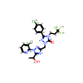 CC(O)c1nc(Cn2nc(-c3ccc(Cl)cc3)n(CCC(F)(F)F)c2=O)nn1-c1ncccc1Cl